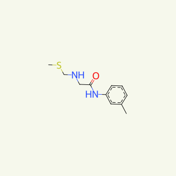 CSCNCC(=O)Nc1cccc(C)c1